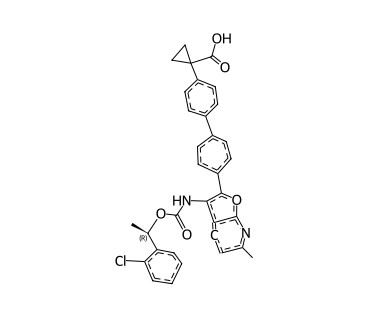 Cc1ccc2c(NC(=O)O[C@H](C)c3ccccc3Cl)c(-c3ccc(-c4ccc(C5(C(=O)O)CC5)cc4)cc3)oc2n1